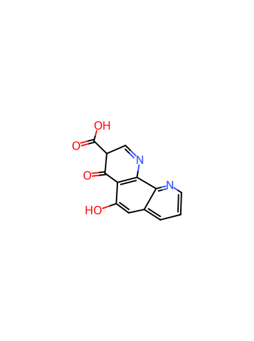 O=C(O)C1C=Nc2c(c(O)cc3cccnc23)C1=O